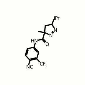 [C-]#[N+]c1ccc(NC(=O)C2(C)CC(C(C)C)N=N2)cc1C(F)(F)F